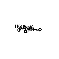 O=C=C(Cc1cccc(-c2nc(C(=O)NCCCCC3CCCCC3)co2)c1-c1ccccc1)C(=O)O